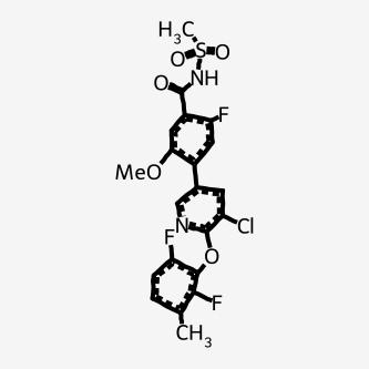 COc1cc(C(=O)NS(C)(=O)=O)c(F)cc1-c1cnc(Oc2c(F)ccc(C)c2F)c(Cl)c1